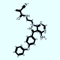 C=C(C#N)C(=O)NCCn1nc(-c2ccc(Oc3ccccc3)cc2)c2c(N)ncnc21